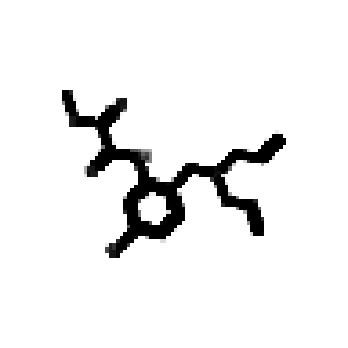 C=CCN(CC=C)Cc1ccc(Cl)cc1NC(=O)C(=O)OC